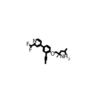 CC#Cc1cc(-c2ccnc(C(F)F)c2)ccc1OC[C@@](C)(N)CC(C)C